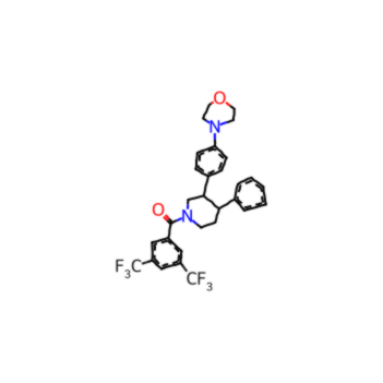 O=C(c1cc(C(F)(F)F)cc(C(F)(F)F)c1)N1CCC(c2ccccc2)C(c2ccc(N3CCOCC3)cc2)C1